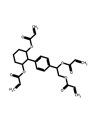 C=CC(=O)OCC(OC(=O)C=C)c1ccc(C2C(OC(=O)C=C)CCCC2OC(=O)C=C)cc1